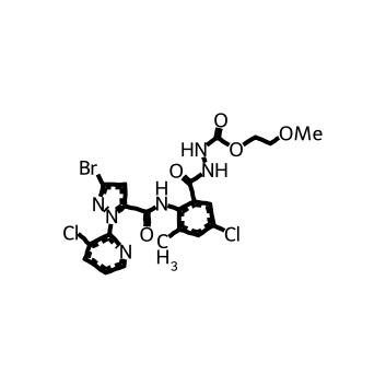 COCCOC(=O)NNC(=O)c1cc(Cl)cc(C)c1NC(=O)c1cc(Br)nn1-c1ncccc1Cl